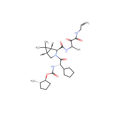 C=CCNC(=O)C(=O)C(CCC)NC(=O)[C@@H]1[C@@H]2[C@H](CN1C(=O)[C@@H](NC(=O)O[C@H]1CCC[C@@H]1C)C1CCCC1)C2(C)C